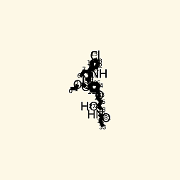 CCOC(=O)N1CCc2c([nH]c3ccc(Cl)cc23)[C@@H]1c1ccc(OCCC(O)CNC(=O)CC)cc1